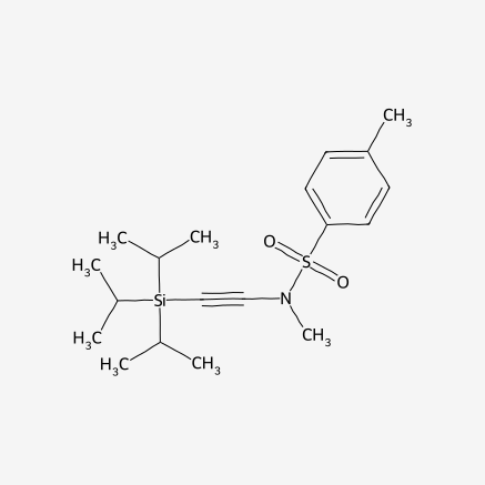 Cc1ccc(S(=O)(=O)N(C)C#C[Si](C(C)C)(C(C)C)C(C)C)cc1